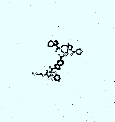 CCCOC(=O)[C@H](C)NP(=O)(Oc1ccccc1)C(F)c1ccc2ccc(C(=O)N[C@H]3CN(C(=O)c4ncn5c4CCCC5)CC[C@H]4CC[C@@H](C(=O)N5CCOCC5)N4C3=O)cc2c1